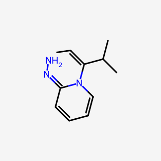 C/C=C(/C(C)C)n1cccc/c1=N/N